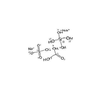 O=C(O)O.O=S(=O)([O-])[O-].O[Si](O)(O)O.[Na+].[Na+]